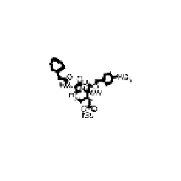 CC(C)(C)OC(=O)CC1CS[C@@H]2[C@H](NC(=O)Cc3ccccc3)C(=O)N2C1(O)C(=O)OCc1ccc([N+](=O)[O-])cc1